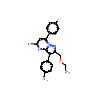 CCOCc1nn2c(-c3ccc(F)cc3)cc(Cl)nc2c1-c1ccc(C)cc1